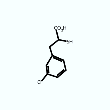 O=C(O)C(S)Cc1cccc(Cl)c1